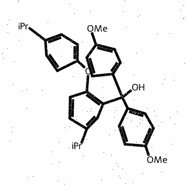 COc1ccc(C(O)(c2ccc(OC)cc2)c2cc(C(C)C)ccc2Oc2ccc(C(C)C)cc2)cc1